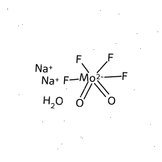 O.[Na+].[Na+].[O]=[Mo-2](=[O])([F])([F])([F])[F]